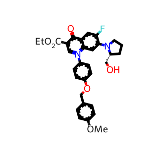 CCOC(=O)c1cn(-c2ccc(OCc3ccc(OC)cc3)cc2)c2cc(N3CCC[C@@H]3CO)c(F)cc2c1=O